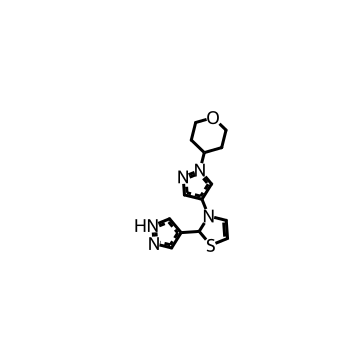 C1=CN(c2cnn(C3CCOCC3)c2)C(c2cn[nH]c2)S1